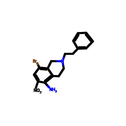 Nc1c([N+](=O)[O-])cc(Br)c2c1CCN(CCc1ccccc1)C2